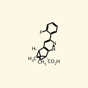 CC1(C)[C@H]2CC[C@]1(C(=O)O)c1nnc(-c3ccccc3F)cc12